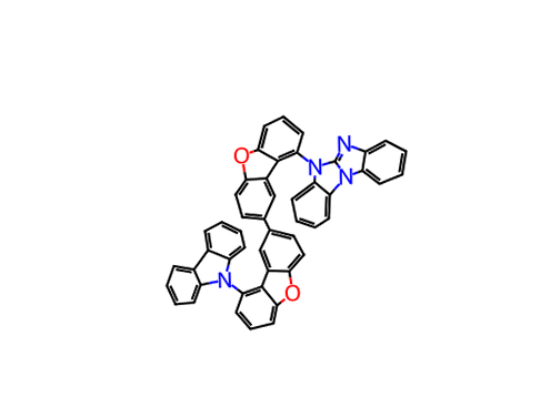 c1ccc2c(c1)nc1n(-c3cccc4oc5ccc(-c6ccc7oc8cccc(-n9c%10ccccc%10c%10ccccc%109)c8c7c6)cc5c34)c3ccccc3n21